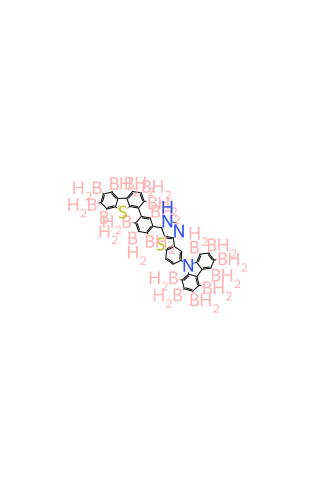 Bc1c(B)c(-c2c(B)c(B)c(B)c3c2sc2c(B)c(B)c(B)c(B)c23)c(B)c(C2NC=Nc3c2sc2ccc(-n4c5c(B)c(B)c(B)c(B)c5c5c(B)c(B)c(B)c(B)c54)cc32)c1B